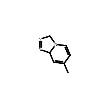 CC1=CC2N=NCN2C=C1